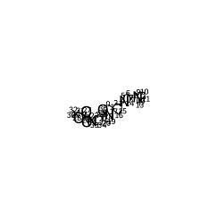 Cc1cc(N2CC[C@@H](N3CCC[C@H]3C)C2)ccc1N1CCC2(CCN(OC(=O)OC(C)(C)C)CC2)C1=O